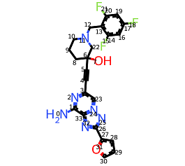 Nc1nc(C#CC2(O)CCCN(Cc3c(F)cc(F)cc3F)C2)cn2nc(-c3ccco3)nc12